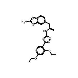 C=C(Cc1ccc2nc(N)sc2c1)Nc1nnc(-c2cnc(OCC)cc2OCC)s1